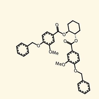 COc1cc(C(=O)O[C@H]2CCCC[C@@H]2OC(=O)c2ccc(OCc3ccccc3)c(OC)c2)ccc1OCc1ccccc1